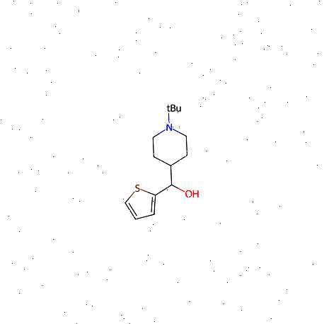 CC(C)(C)N1CCC(C(O)c2cccs2)CC1